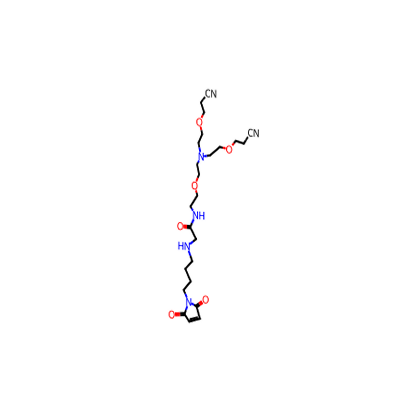 N#CCCOCCN(CCOCCC#N)CCOCCNC(=O)CNCCCCN1C(=O)C=CC1=O